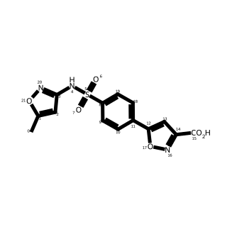 Cc1cc(NS(=O)(=O)c2ccc(-c3cc(C(=O)O)no3)cc2)no1